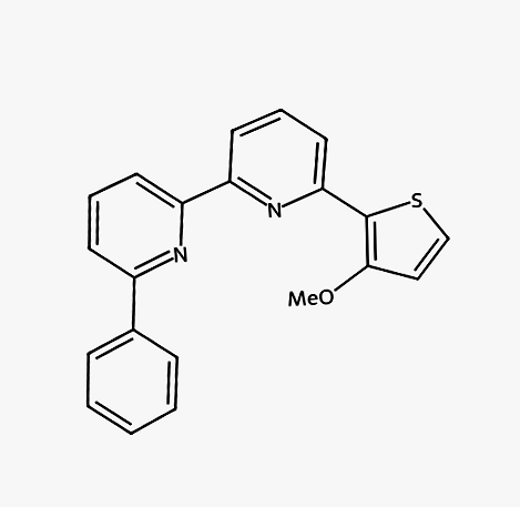 COc1ccsc1-c1cccc(-c2cccc(-c3ccccc3)n2)n1